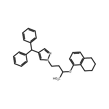 O=C(O)C(CCn1cc(C(c2ccccc2)c2ccccc2)cn1)Oc1cccc2c1CCCC2